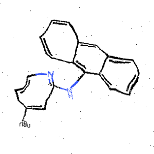 CCCCc1ccnc(Nc2c3ccccc3cc3ccccc23)c1